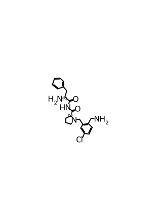 NCc1ccc(Cl)cc1CN1CCC[C@H]1C(=O)NC(=O)[C@H](N)Cc1ccccc1